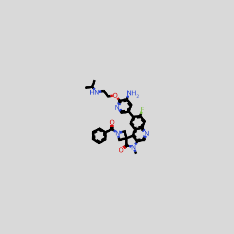 CC(C)NCCOc1ncc(-c2cc3c4c(cnc3cc2F)N(C)C(=O)C42CN(C(=O)c3ccccc3)C2)cc1N